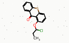 CCC(Cl)Oc1cccc2sc3ccccc3c(=O)c12